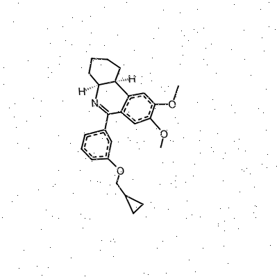 COc1cc2c(cc1OC)[C@@H]1CCCC[C@@H]1N=C2c1cccc(OCC2CC2)c1